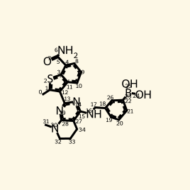 Cc1sc2c(C(N)=O)cccc2c1-c1nc(NCc2cccc(B(O)O)c2)c2c(n1)N(C)CCC2